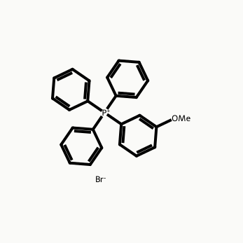 COc1cccc([P+](c2ccccc2)(c2ccccc2)c2ccccc2)c1.[Br-]